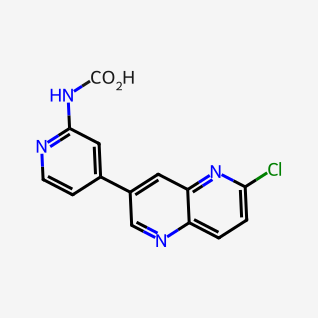 O=C(O)Nc1cc(-c2cnc3ccc(Cl)nc3c2)ccn1